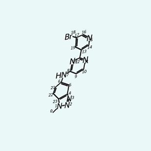 Cn1nnc2cc(Nc3ccnc(-c4cncc(Br)c4)n3)ccc21